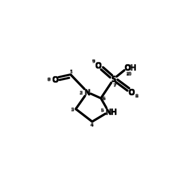 O=CN1CCNC1S(=O)(=O)O